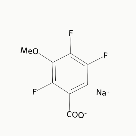 COc1c(F)c(F)cc(C(=O)[O-])c1F.[Na+]